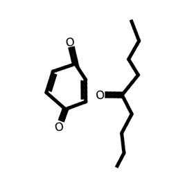 CCCCC(=O)CCCC.O=C1C=CC(=O)C=C1